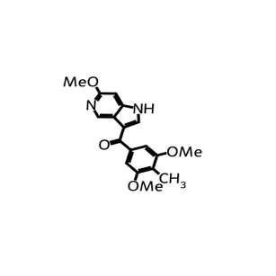 COc1cc2[nH]cc(C(=O)c3cc(OC)c(C)c(OC)c3)c2cn1